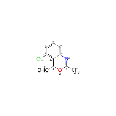 O=CC1OC(C(F)(F)F)=Nc2cccc(Cl)c21